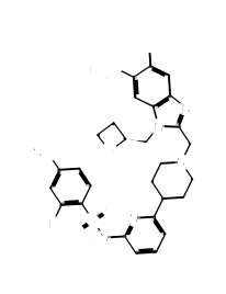 N#Cc1ccc(S(=O)(=O)Nc2cccc(C3CCN(Cc4nc5cc(F)c(C(=O)O)cc5n4C[C@@H]4CCO4)CC3)n2)c(F)c1